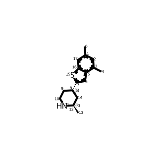 Cc1cc(C)c2cc([C@H]3CCN[C@H](C)C3)sc2c1